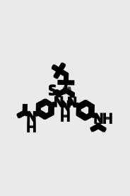 CC(C)Nc1ccc(N2C[C@H](C(C)(C)CC(C)(C)C)C(=S)N(c3ccc(NC(C)C)cc3)N2)cc1